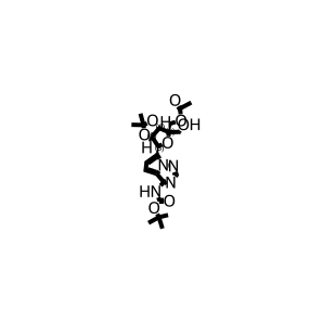 CC(=O)OC[C@@]1(CO)O[C@@H](c2ccc3c(NC(=O)OC(C)(C)C)ncnn23)[C@@H]2OC(C)(C)O[C@@H]21